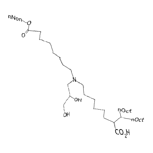 CCCCCCCCCOC(=O)CCCCCCCN(CCCCCCC(C(=O)O)C(CCCCCCCC)CCCCCCCC)CC(O)CO